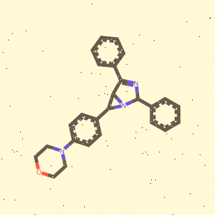 c1ccc(C2=NC(c3ccccc3)N3C2C3c2ccc(N3CCOCC3)cc2)cc1